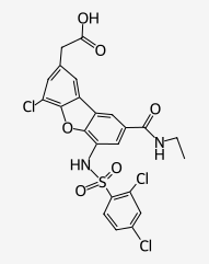 CCNC(=O)c1cc(NS(=O)(=O)c2ccc(Cl)cc2Cl)c2oc3c(Cl)cc(CC(=O)O)cc3c2c1